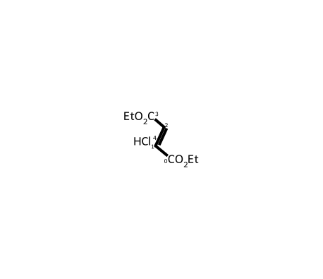 CCOC(=O)/C=C/C(=O)OCC.Cl